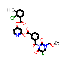 CCOCn1cc(F)c(=O)n(C(=O)c2cccc(C(=O)Oc3cc(OC(=O)c4cccc(C)c4Cl)ccn3)c2)c1=O